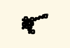 COCCCCCCO[C@@H]1OC(COC(C)=O)[C@H](OC(C)=O)C(OC(C)=O)C1C